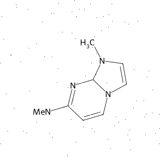 CNC1=NC2N(C)C=CN2C=C1